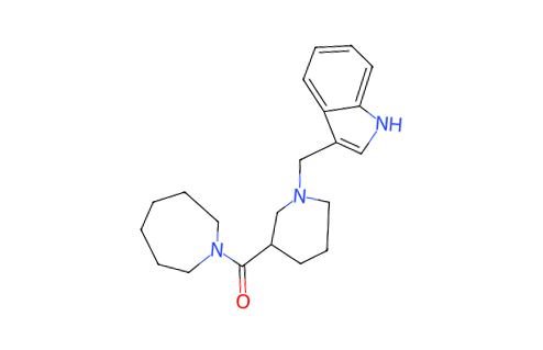 O=C(C1CCCN(Cc2c[nH]c3ccccc23)C1)N1CCCCCC1